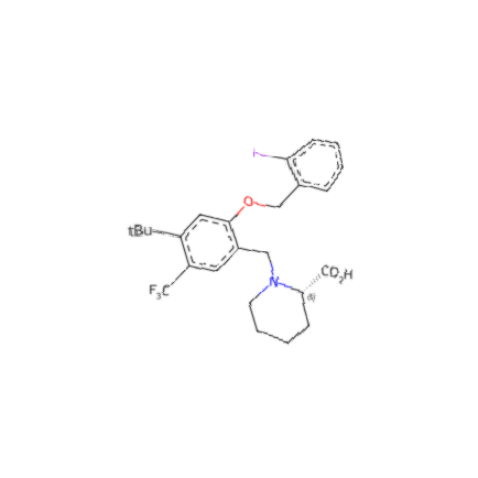 CC(C)(C)c1cc(OCc2ccccc2I)c(CN2CCCC[C@H]2C(=O)O)cc1C(F)(F)F